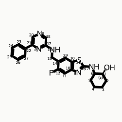 O[C@H]1CCCCC1Nc1nc2cc(F)c(CNc3cncc(-c4ccccc4)n3)cc2s1